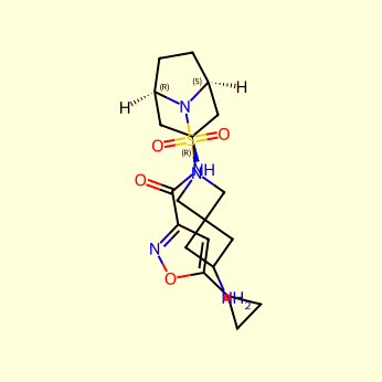 NC1CC2(C1)CN(S(=O)(=O)N1[C@@H]3CC[C@H]1C[C@@H](NC(=O)c1cc(C4CC4)on1)C3)C2